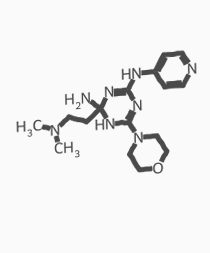 CN(C)CCC1(N)N=C(Nc2ccncc2)N=C(N2CCOCC2)N1